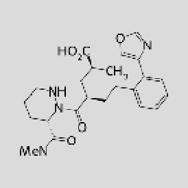 CNC(=O)[C@@H]1CCCNN1C(=O)[C@H](CCc1ccccc1-c1cocn1)C[C@H](C)C(=O)O